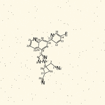 N#CCC1(n2ncc(-c3cc(-c4ccc(F)cn4)cc4ncccc34)n2)CC(C#N)C1